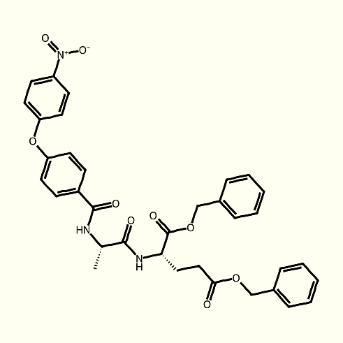 C[C@H](NC(=O)c1ccc(Oc2ccc([N+](=O)[O-])cc2)cc1)C(=O)N[C@@H](CCC(=O)OCc1ccccc1)C(=O)OCc1ccccc1